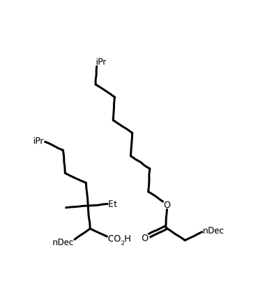 CCCCCCCCCCC(C(=O)O)C(C)(CC)CCCC(C)C.CCCCCCCCCCCC(=O)OCCCCCCCC(C)C